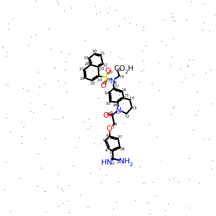 N=C(N)c1ccc(OCC(=O)N2CCCc3cc(N(CC(=O)O)S(=O)(=O)c4cccc5ccccc45)ccc32)cc1